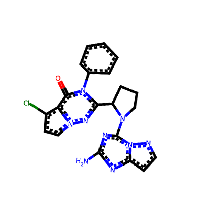 Nc1nc(N2CCCC2c2nn3ccc(Cl)c3c(=O)n2-c2ccccc2)n2nccc2n1